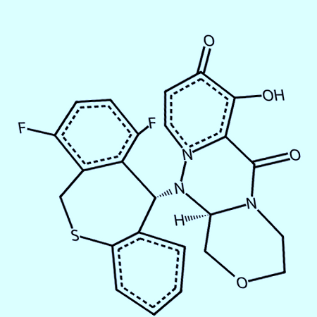 O=C1c2c(O)c(=O)ccn2N([C@@H]2c3ccccc3SCc3c(F)ccc(F)c32)[C@@H]2COCCN12